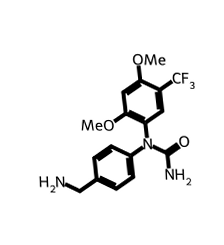 COc1cc(OC)c(C(F)(F)F)cc1N(C(N)=O)c1ccc(CN)cc1